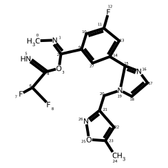 C/N=C(\OC(=N)C(F)F)c1cc(F)cc(-c2nccn2Cc2cc(C)on2)c1